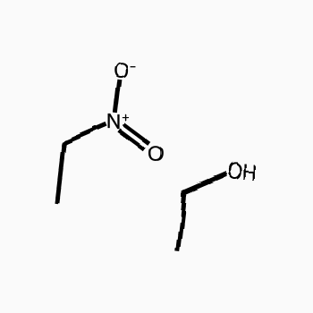 CCO.CC[N+](=O)[O-]